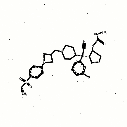 C=CS(=O)(=O)c1ccc(N2CC(CN3CCC(C(C#N)(c4cccc(F)c4)[C@H]4CCC[C@@H]4OC(=O)NC)CC3)C2)cc1